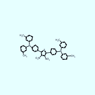 Cc1cccc(N(c2ccc(-c3sc(-c4ccc(N(c5cccc(C)c5)c5cccc(C)c5)cc4)c([N+](=O)[O-])c3[N+](=O)[O-])cc2)c2cccc(C)c2)c1